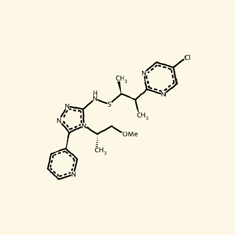 COC[C@H](C)n1c(NS[C@@H](C)C(C)c2ncc(Cl)cn2)nnc1-c1cccnc1